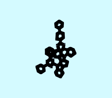 c1ccc(-c2ccc(-c3nc(-c4ccccc4)nc(-c4ccccc4-n4c5ccccc5c5c4ccc4c6ccccc6n(-c6nc(-c7ccccc7)nc(-c7ccccc7)n6)c45)n3)cc2)cc1